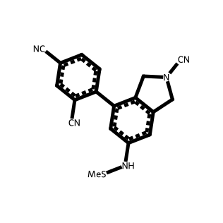 CSNc1cc2c(c(-c3ccc(C#N)cc3C#N)c1)CN(C#N)C2